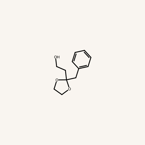 OCCC1(Cc2ccccc2)OCCO1